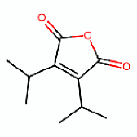 CC(C)C1=C(C(C)C)C(=O)OC1=O